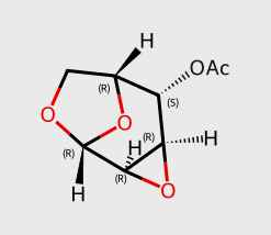 CC(=O)O[C@@H]1[C@H]2O[C@H]2[C@@H]2OC[C@H]1O2